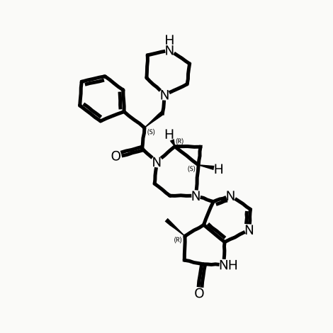 C[C@@H]1CC(=O)Nc2ncnc(N3CCN(C(=O)[C@H](CN4CCNCC4)c4ccccc4)[C@@H]4C[C@@H]43)c21